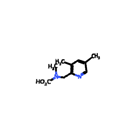 Cc1cnc(CN(C)C(=O)O)c(C)c1